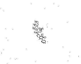 Cc1c(-c2ccncc2)c(=O)[nH]c2cc(N[C@H](C=O)[C@H](O)[C@@H](O)[C@@H](O)CO)ccc12